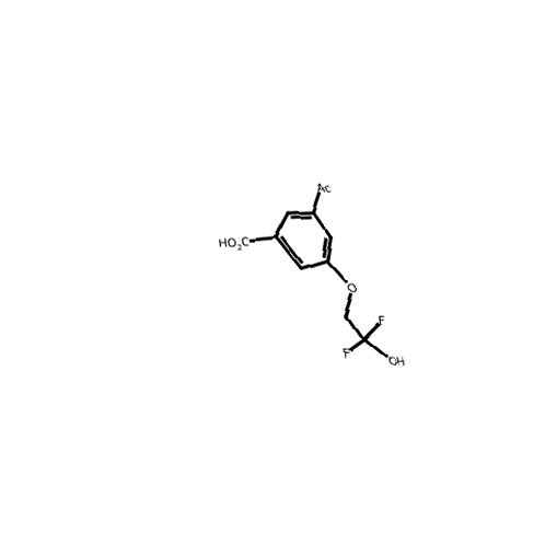 CC(=O)c1cc(OCC(O)(F)F)cc(C(=O)O)c1